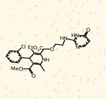 CCOC(=O)C1=C(COCCNc2nccc(=O)[nH]2)NC(C)=C(C(=O)OC)C1c1ccccc1Cl